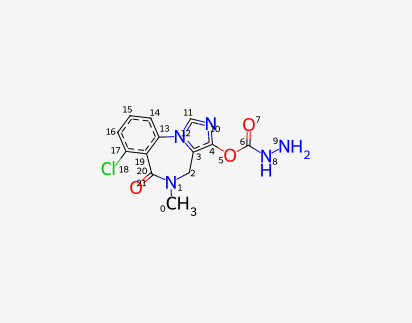 CN1Cc2c(OC(=O)NN)ncn2-c2cccc(Cl)c2C1=O